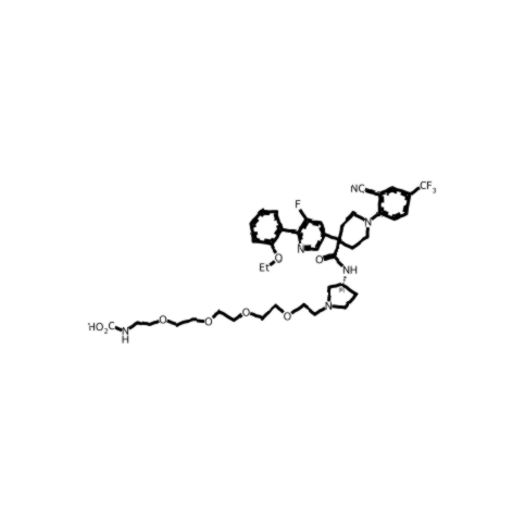 CCOc1ccccc1-c1ncc(C2(C(=O)N[C@@H]3CCN(CCOCCOCCOCCOCCNC(=O)O)C3)CCN(c3ccc(C(F)(F)F)cc3C#N)CC2)cc1F